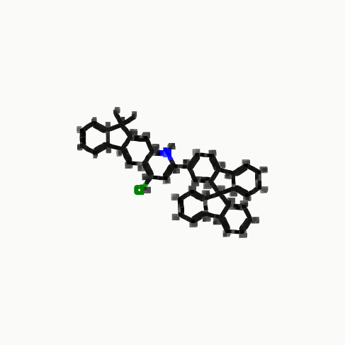 CC1(C)c2ccccc2-c2cc3c(Cl)cc(-c4ccc5c(c4)C4(c6ccccc6-c6ccccc64)c4ccccc4-5)nc3cc21